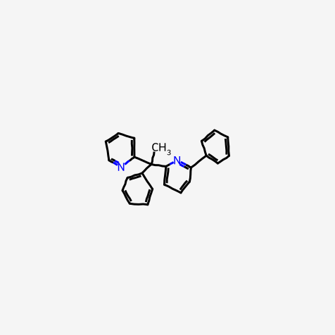 CC(c1ccccc1)(c1ccccn1)c1cccc(-c2ccccc2)n1